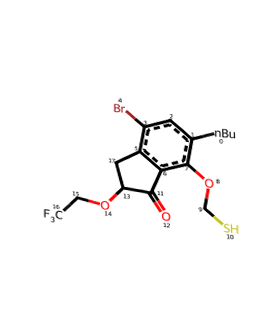 CCCCc1cc(Br)c2c(c1OCS)C(=O)C(OCC(F)(F)F)C2